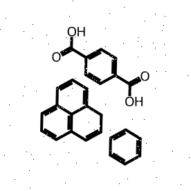 C1=Cc2cccc3cccc(c23)C1.O=C(O)c1ccc(C(=O)O)cc1.c1ccccc1